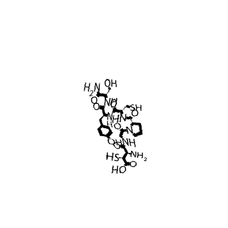 NC(=O)[C@H](CO)NC(=O)[C@H](Cc1ccc(O)cc1)NC(=O)[C@H](CS)NC(=O)[C@@H]1CCCN1C(=O)CNC(=O)[C@@H](N)[C@@H](S)C(=O)O